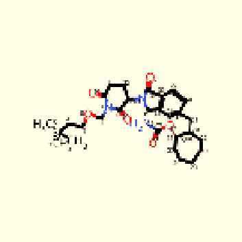 C[Si](C)(C)CCOCN1C(=O)CCC(N2Cc3cc(C[C@H]4CCCCC[C@@H]4OC(N)=O)ccc3C2=O)C1=O